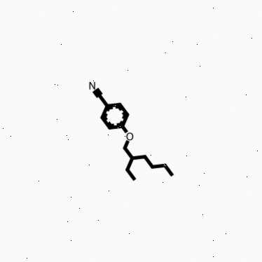 CCCCC(CC)COc1ccc(C#N)cc1